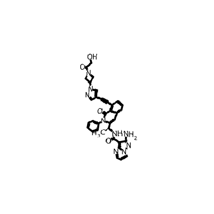 C[C@H](NC(=O)c1c(N)nn2cccnc12)c1cc2cccc(C#Cc3cnn(C4CN(C(=O)CO)C4)c3)c2c(=O)n1-c1ccccc1